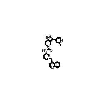 Cc1cc(-c2n[nH]c3c2CN(C(=O)N[C@@H]2CCCN(Cc4ccnc5ccccc45)C2)CC3)ccn1